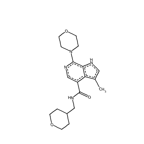 Cc1c[nH]c2c(N3CCOCC3)ncc(C(=O)NCC3CCOCC3)c12